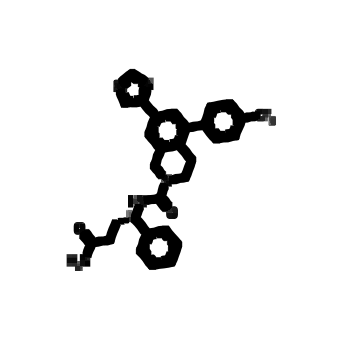 NC(=O)CC[C@H](NC(=O)N1CCc2c(cc(-c3cscn3)cc2-c2ccc(C(F)(F)F)cc2)C1)c1ccccc1